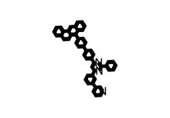 c1ccc(-c2nc(-c3ccc(-c4ccc(-c5c6ccccc6cc6c5ccc5ccccc56)cc4)cc3)cc(-c3cccc(-c4cccnc4)c3)n2)cc1